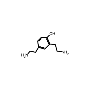 NCCc1ccc(O)c(CCN)c1